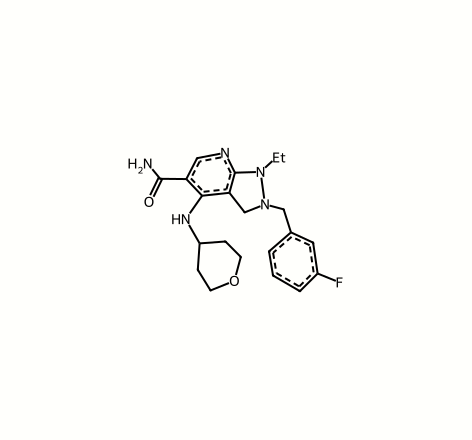 CCN1c2ncc(C(N)=O)c(NC3CCOCC3)c2CN1Cc1cccc(F)c1